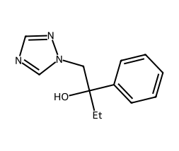 CCC(O)(Cn1cncn1)c1ccccc1